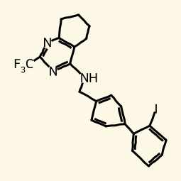 FC(F)(F)c1nc2c(c(NCc3ccc(-c4ccccc4I)cc3)n1)CCCC2